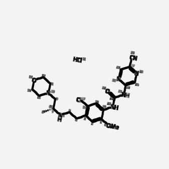 COc1cc(CCN[C@H](C)CN2CCOCC2)c(Cl)cc1NC(=O)Nc1cnc(C#N)cn1.Cl